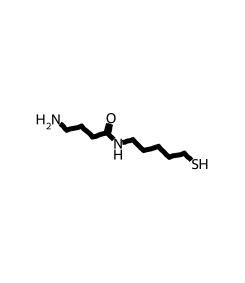 NCCCC(=O)NCCCCCS